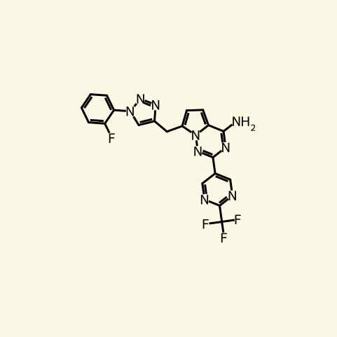 Nc1nc(-c2cnc(C(F)(F)F)nc2)nn2c(Cc3cn(-c4ccccc4F)nn3)ccc12